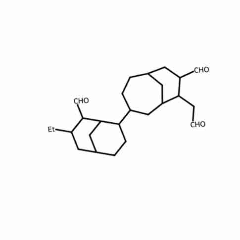 CCC1CC2CCC(C3CCC4CC(C=O)C(CC=O)C(C4)C3)C(C2)C1C=O